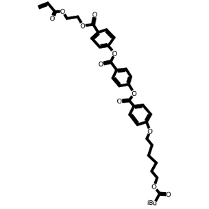 C=CC(=O)OCCOC(=O)c1ccc(OC(=O)c2ccc(OC(=O)c3ccc(OCCCCCCOC(=O)C(C)CC)cc3)cc2)cc1